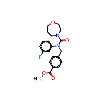 COC(=O)c1ccc(CN(C(=O)N2CCCOCC2)c2cccc(F)c2)cc1